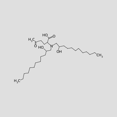 CCCCCCCCCCC(O)CN(CC(O)CCCCCCCCCC)C(CCC(C)=O)C(=O)O